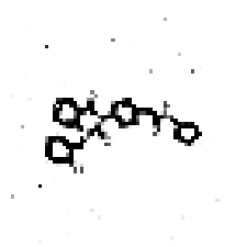 O=C(Cc1ccc(-n2c(=O)c3ccccc3n(Cc3ccccc3Cl)c2=O)cc1)NC1CCCC1